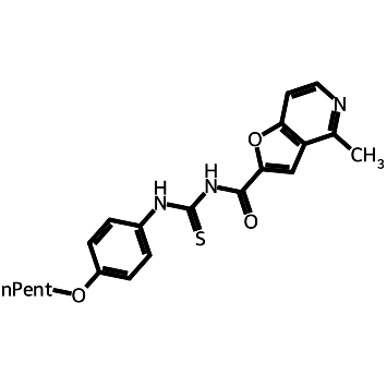 CCCCCOc1ccc(NC(=S)NC(=O)c2cc3c(C)nccc3o2)cc1